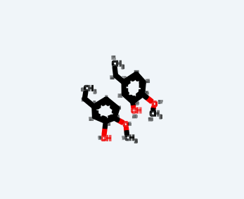 CCc1ccc(OC)c(O)c1.CCc1ccc(OC)c(O)c1